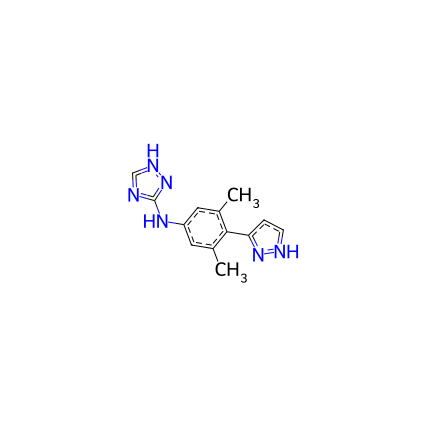 Cc1cc(Nc2nc[nH]n2)cc(C)c1-c1cc[nH]n1